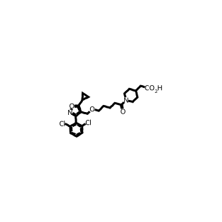 O=C(O)CC1CCN(C(=O)CCCCOCc2c(-c3c(Cl)cccc3Cl)noc2C2CC2)CC1